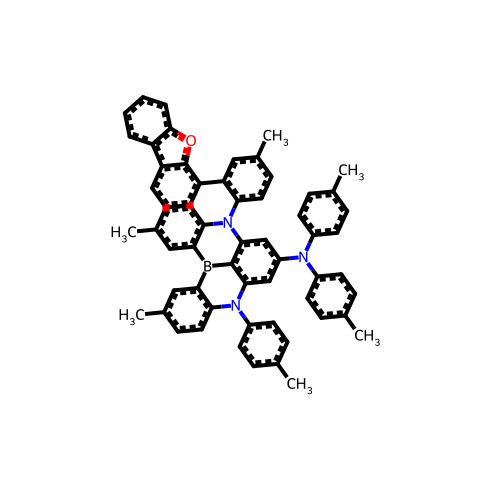 Cc1ccc(N(c2ccc(C)cc2)c2cc3c4c(c2)N(c2ccc(C)cc2-c2cccc5c2oc2ccccc25)c2ccc(C)cc2B4c2cc(C)ccc2N3c2ccc(C)cc2)cc1